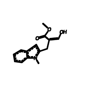 COC(=O)C(=CO)Cc1cc2ccccc2n1C